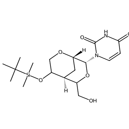 CC(C)(C)[Si](C)(C)OC1CO[C@H]2C[C@H]1C(CO)O[C@H]2n1ccc(=O)[nH]c1=O